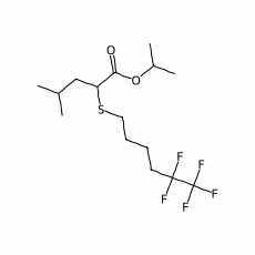 CC(C)CC(SCCCCC(F)(F)C(F)(F)F)C(=O)OC(C)C